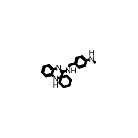 CNc1ccc(CNC2=Nc3ccccc3NC23CCCCC3)cc1